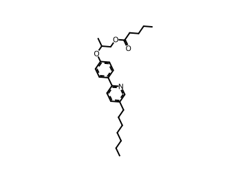 CCCCCCCc1ccc(-c2ccc(OC(C)COC(=O)CCCC)cc2)nc1